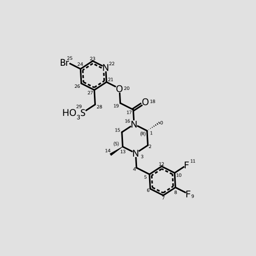 C[C@@H]1CN(Cc2ccc(F)c(F)c2)[C@@H](C)CN1C(=O)COc1ncc(Br)cc1CS(=O)(=O)O